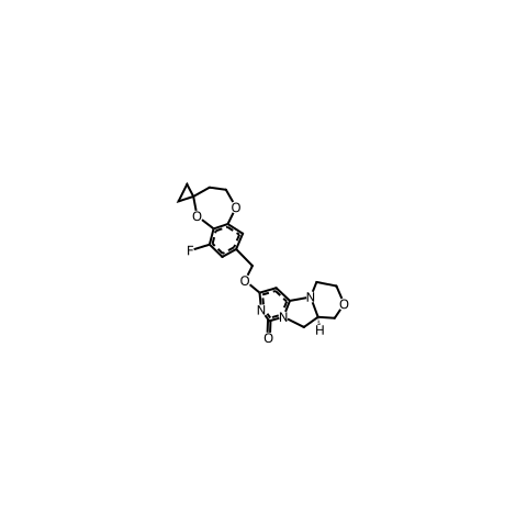 O=c1nc(OCc2cc(F)c3c(c2)OCCC2(CC2)O3)cc2n1C[C@@H]1COCCN21